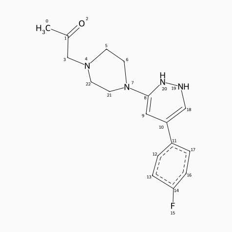 CC(=O)CN1CCN(C2=CC(c3ccc(F)cc3)=CNN2)CC1